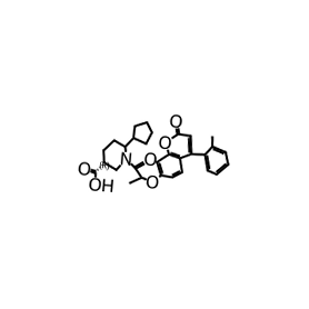 Cc1ccccc1-c1cc(=O)oc2cc(OC(C)C(=O)N3C[C@H](C(=O)O)CCC3C3CCCC3)ccc12